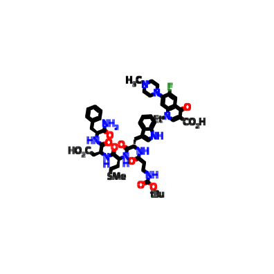 CCn1cc(C(=O)O)c(=O)c2cc(F)c(N3CCN(C)CC3)cc21.CSCC[C@H](NC(=O)[C@H](Cc1c[nH]c2ccccc12)NC(=O)CCNC(=O)OC(C)(C)C)C(=O)N[C@@H](CC(=O)O)C(=O)N[C@@H](Cc1ccccc1)C(N)=O